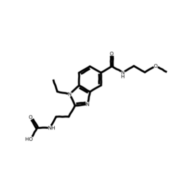 CCn1c(CCNC(=O)O)nc2cc(C(=O)NCCOC)ccc21